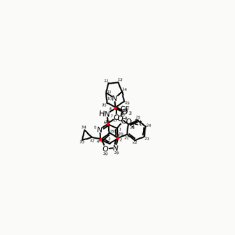 CCOC(=O)c1cccnc1NC(=O)N1C2CCC1CC(OCc1c(-c3ccccc3OC(F)(F)F)noc1C1CC1)C2